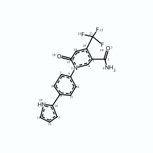 NC(=O)c1cn(-c2ccc(-c3ccc[nH]3)cc2)c(=O)cc1C(F)(F)F